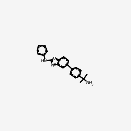 CC(C)(N)c1ccc(-c2ccc3oc(Nc4ccccc4)nc3c2)cc1